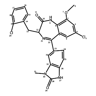 COc1cc(Cl)cc2c1NC(=O)C(Cc1ccccc1Cl)N=C2c1ccc2[nH]c(=O)n(C)c2c1